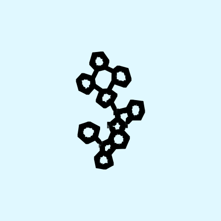 c1ccc(-n2c3ccccc3c3ccc4c(nc5n(-c6ccc7c(c6)-c6ccccc6-c6ccccc6-c6ccccc6-7)c6ccccc6n45)c32)cc1